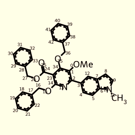 COc1c(-c2ccc3c(ccn3C)c2)nc(OCc2ccccc2)c(C(=O)OCc2ccccc2)c1OCc1ccccc1